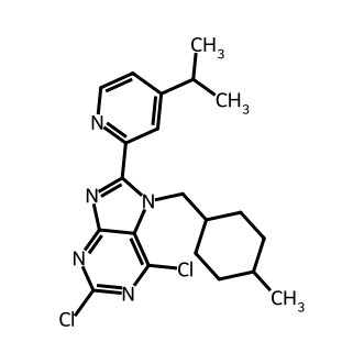 CC1CCC(Cn2c(-c3cc(C(C)C)ccn3)nc3nc(Cl)nc(Cl)c32)CC1